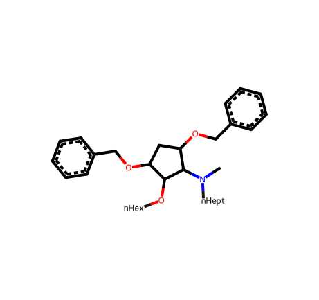 CCCCCCCN(C)C1C(OCc2ccccc2)CC(OCc2ccccc2)C1OCCCCCC